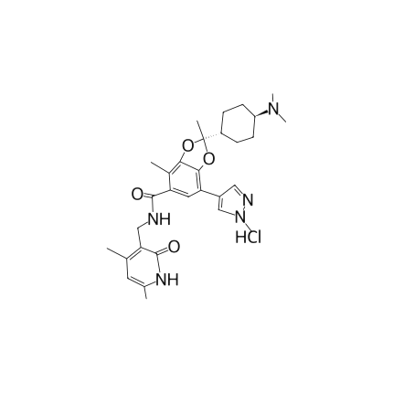 Cc1cc(C)c(CNC(=O)c2cc(-c3cnn(C)c3)c3c(c2C)OC(C)([C@H]2CC[C@H](N(C)C)CC2)O3)c(=O)[nH]1.Cl